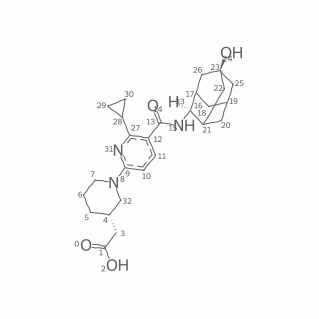 O=C(O)C[C@@H]1CCCN(c2ccc(C(=O)N[C@H]3C4CC5CC3C[C@@](O)(C5)C4)c(C3CC3)n2)C1